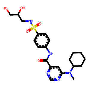 CN(c1cc(C(=O)Nc2ccc(S(=O)(=O)NCC(O)CO)cc2)ncn1)C1CCCCC1